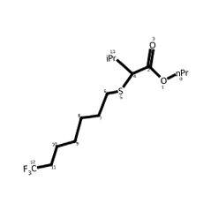 CCCOC(=O)C(SCCCCCCC(F)(F)F)C(C)C